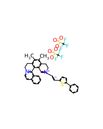 Cc1c(C)c2c(c3c1CC[n+]1ccc4ccccc4c1-3)-c1cccc(/C=C/c3ccc(-c4ccccc4)s3)[n+]1CC2.O=S(=O)([O-])C(F)(F)F.O=S(=O)([O-])C(F)(F)F